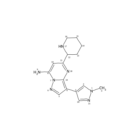 Cn1cc(-c2cnn3c(N)cc(C4CCCCN4)nc23)cn1